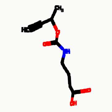 C#CC(C)OC(=O)NCCCC(=O)O